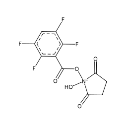 O=C(O[N+]1(O)C(=O)CCC1=O)c1c(F)c(F)cc(F)c1F